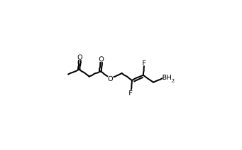 BCC(F)=C(F)COC(=O)CC(C)=O